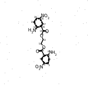 Nc1ccc([N+](=O)[O-])cc1C(=O)OCCOC(=O)c1cc([N+](=O)[O-])ccc1N